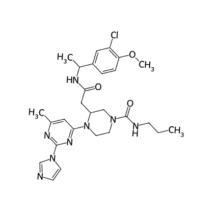 CCCNC(=O)N1CCN(c2cc(C)nc(-n3ccnc3)n2)C(CC(=O)NC(C)c2ccc(OC)c(Cl)c2)C1